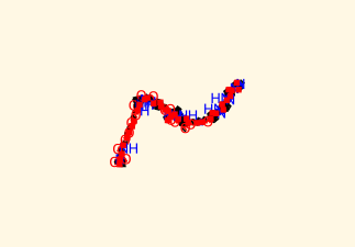 C=C1CC(C2OCCN2C(=O)OCc2ccc(NC(=O)[C@H](C)NC(=O)[C@@H](NC(=O)CCOCCOCCOCCOCCNC(=O)CCN3C(=O)C=CC3=O)C(C)C)cc2)N(C(=O)c2cc(OC)c(OCCCCCOc3ccc(-c4nc5ccc(-c6nc7cc(N8CCN(C)CC8)ccc7[nH]6)cc5[nH]4)cc3)cc2N)C1